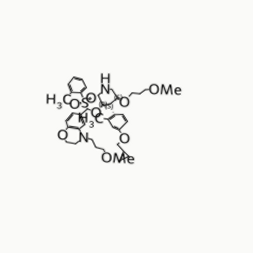 COCCCO[C@@H]1CNC[C@H](OC(c2ccc3c(c2)N(CCCOC)CCO3)S(=O)(=O)c2ccccc2C)[C@H]1c1ccc(OCC2CC2)cc1C